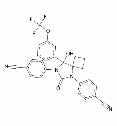 N#Cc1ccc(N2C(=O)N(c3ccc(C#N)cc3)C(O)(c3cccc(OC(F)(F)F)c3)C23CCC3)cc1